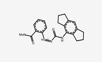 CNC(=O)c1ccccc1/[SH]=N\C(=O)Nc1c2c(cc3c1CCC3)CCC2